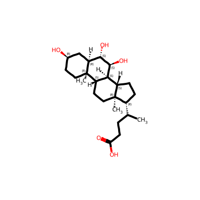 CC(CCC(=O)O)[C@H]1CC[C@H]2[C@@H]3[C@H](O)[C@@H](O)[C@@H]4C[C@H](O)CC[C@]4(C)[C@H]3CC[C@]12C